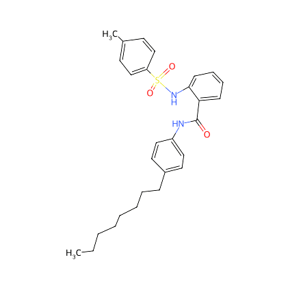 CCCCCCCCc1ccc(NC(=O)c2ccccc2NS(=O)(=O)c2ccc(C)cc2)cc1